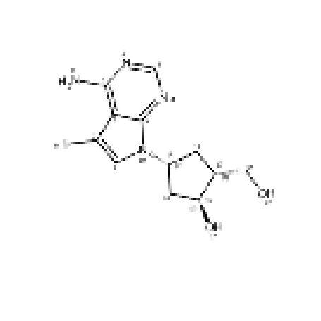 Nc1ncnc2c1c(I)cn2[C@@H]1C[C@H](CO)[C@@H](O)C1